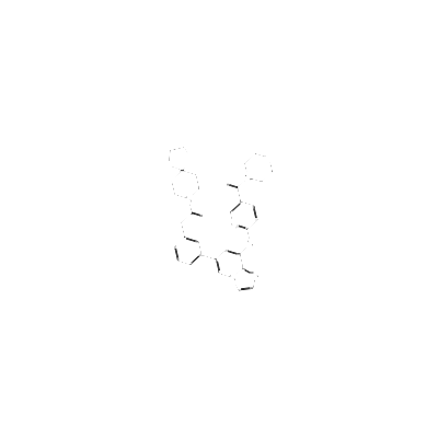 O=C(Cc1cccc(-c2cc(Nc3ccc(C(=O)N4CCOCC4)cn3)c3nccn3c2)c1)N1CCC2(CC1)OCCO2